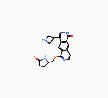 O=C1CC[C@@H](COc2nccc3cc4c(=O)[nH]cc(C5CNC5)c4cc23)N1